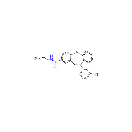 CC(C)CCNC(=O)c1ccc2c(c1)C=C(c1cccc(Cl)c1)c1ccccc1S2